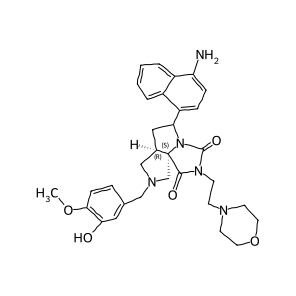 COc1ccc(CN2C[C@H]3CC(c4ccc(N)c5ccccc45)N4C(=O)N(CCN5CCOCC5)C(=O)[C@@]34C2)cc1O